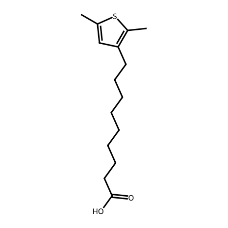 Cc1cc(CCCCCCCCC(=O)O)c(C)s1